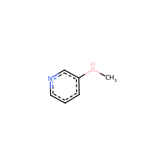 CBc1cccnc1